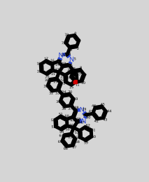 c1ccc(-c2nc(-c3ccccc3)c3c(n2)-c2ccccc2C3(c2ccccc2)c2cccc(-c3ccc(-c4nc(-c5ccccc5)nc5c4-c4ccccc4C5(c4ccccc4)c4ccccc4)cc3)c2)cc1